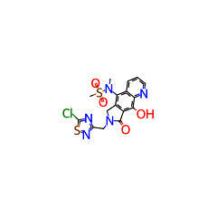 CN(c1c2c(c(O)c3ncccc13)C(=O)N(Cc1nsc(Cl)n1)C2)S(C)(=O)=O